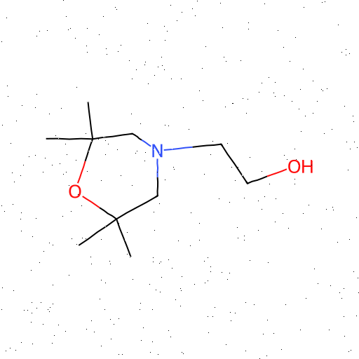 CC1(C)CN(CCO)CC(C)(C)O1